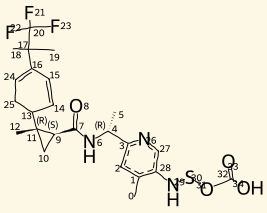 Cc1cc([C@@H](C)NC(=O)[C@H]2C[C@]2(C)C2C=CC(C(C)(C)C(F)(F)F)=CC2)ncc1NSOC(=O)O